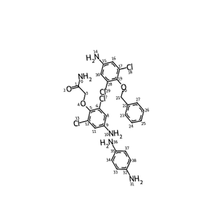 NC(=O)COc1c(Cl)cc(N)cc1Cl.Nc1cc(Cl)c(OCc2ccccc2)c(Cl)c1.Nc1ccc(N)cc1